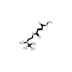 COC(=O)/C=C/C(=O)OCCN(C)C(C)(C)C